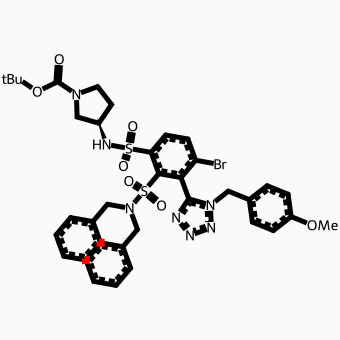 COc1ccc(Cn2nnnc2-c2c(Br)ccc(S(=O)(=O)N[C@@H]3CCN(C(=O)OC(C)(C)C)C3)c2S(=O)(=O)N(Cc2ccccc2)Cc2ccccc2)cc1